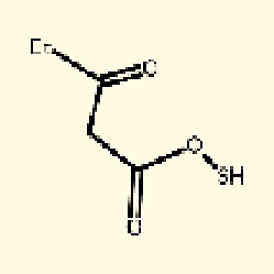 CCC(=O)CC(=O)OS